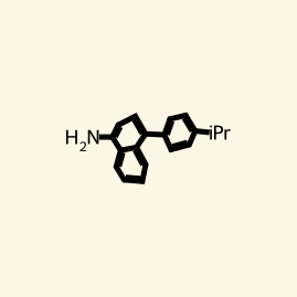 CC(C)c1ccc(-c2ccc(N)c3ccccc23)cc1